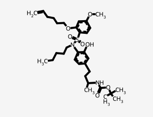 C=CCCCCOc1cc(OC)ccc1S(=O)(=O)N(CCCCC)c1ccc(CCC(C)NC(=O)OC(C)(C)C)cc1O